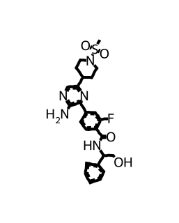 CS(=O)(=O)N1CCC(c2cnc(N)c(-c3ccc(C(=O)NC(CO)c4ccccc4)c(F)c3)n2)CC1